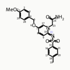 COc1ccc(COc2cc/c(=N\S(=O)(=O)c3ccc(C)cc3)n(CC(N)=O)c2)cc1